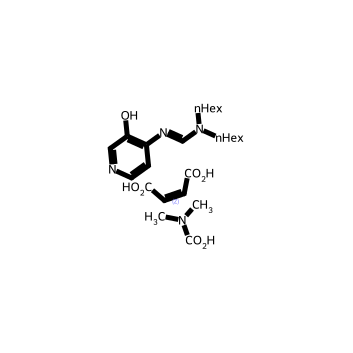 CCCCCCN(C=Nc1ccncc1O)CCCCCC.CN(C)C(=O)O.O=C(O)/C=C\C(=O)O